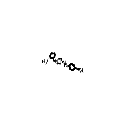 Cc1ccccc1CN1CCN(/N=N/c2ccc(C#N)cc2)CC1